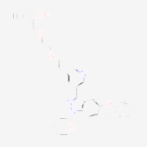 CC(O)COCCOCCc1cncc(-c2nn(C3CCCCO3)c3ccc(O[Si](C)(C)C(C)(C)C)cc23)c1